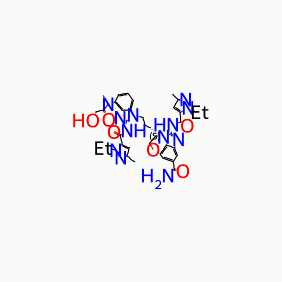 CCn1nc(C)cc1C(=O)Nc1nc2c(N(C)C(=O)CO)cccc2n1CCC[C@H]1COc2cc(C(N)=O)cc3nc(NC(=O)c4cc(C)nn4CC)n1c23